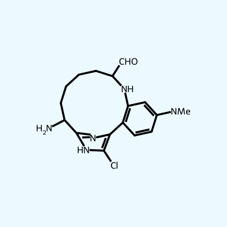 CNc1ccc2c(c1)NC(C=O)CCCCC(N)c1nc-2c(Cl)[nH]1